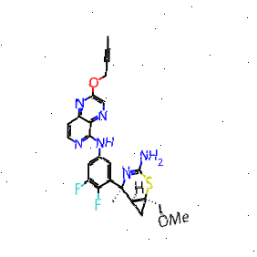 CC#CCOc1cnc2c(Nc3cc(F)c(F)c([C@@]4(C)N=C(N)S[C@@]5(COC)C[C@H]54)c3)nccc2n1